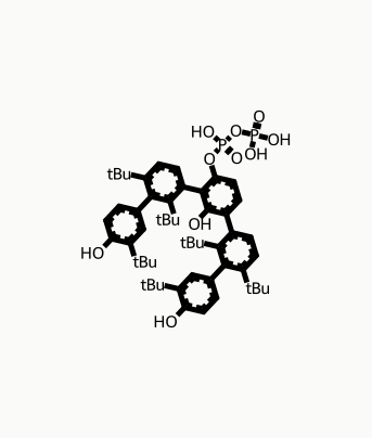 CC(C)(C)c1cc(-c2c(C(C)(C)C)ccc(-c3ccc(OP(=O)(O)OP(=O)(O)O)c(-c4ccc(C(C)(C)C)c(-c5ccc(O)c(C(C)(C)C)c5)c4C(C)(C)C)c3O)c2C(C)(C)C)ccc1O